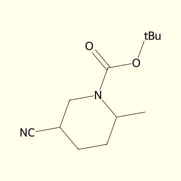 CC1CCC(C#N)CN1C(=O)OC(C)(C)C